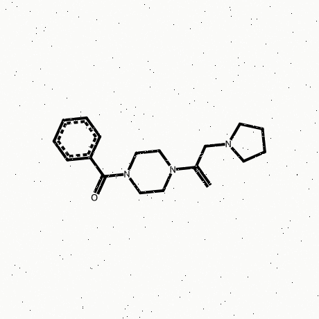 C=C(CN1CCCC1)N1CCN(C(=O)c2ccccc2)CC1